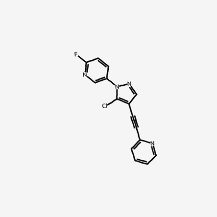 Fc1ccc(-n2ncc(C#Cc3ccccn3)c2Cl)cn1